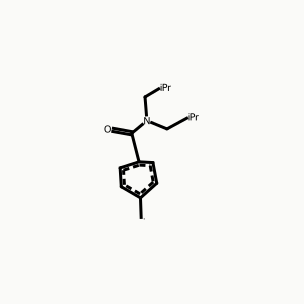 [CH2]c1ccc(C(=O)N(CC(C)C)CC(C)C)cc1